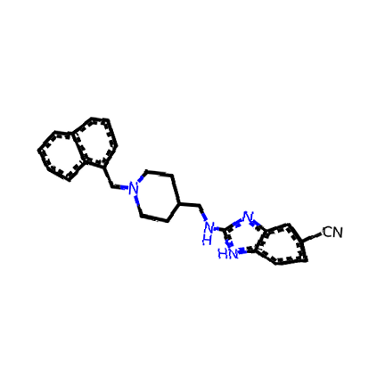 N#Cc1ccc2[nH]c(NCC3CCN(Cc4cccc5ccccc45)CC3)nc2c1